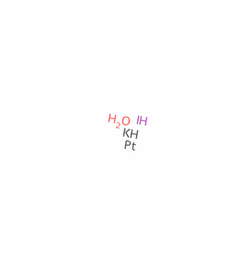 I.O.[KH].[Pt]